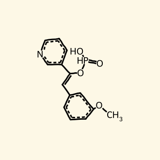 COc1cccc(C=C(O[PH](=O)O)c2cccnc2)c1